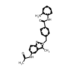 CC(=O)Nc1ccc2nn(Cc3ccc(C(=O)Nc4ccccc4N)cc3)c(C)c2c1